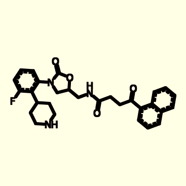 O=C(CCC(=O)c1cccc2ccccc12)NCC1CN(c2cccc(F)c2C2CCNCC2)C(=O)O1